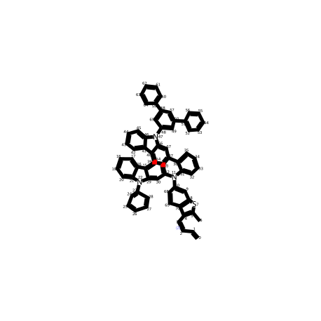 C=C/C=C\c1c(C)sc2cc(N(c3ccc4c5ccccc5n(-c5ccccc5)c4c3)c3ccccc3-c3ccc4c5ccccc5n(-c5cc(-c6ccccc6)cc(-c6ccccc6)c5)c4c3)ccc12